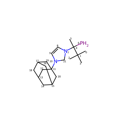 CC(C)(C)C(C)(P)N1C=CN(C23CC4CC(CC(C4)C2)C3)C1